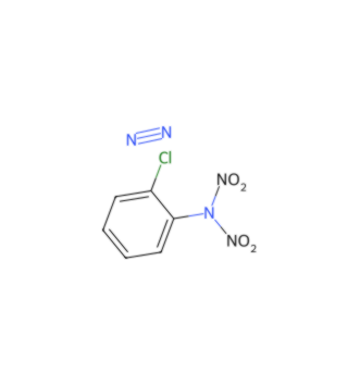 N#N.O=[N+]([O-])N(c1ccccc1Cl)[N+](=O)[O-]